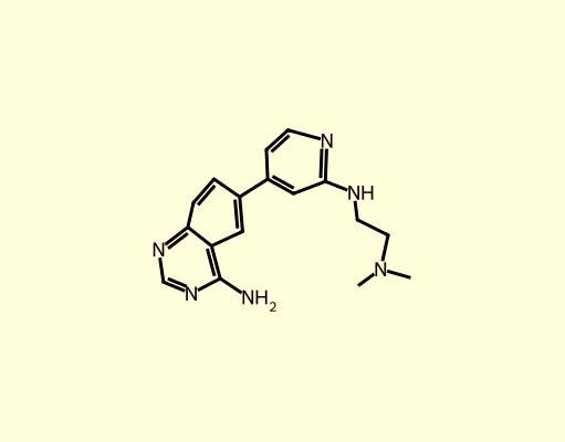 CN(C)CCNc1cc(-c2ccc3ncnc(N)c3c2)ccn1